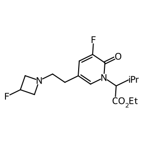 CCOC(=O)C(C(C)C)n1cc(CCN2CC(F)C2)cc(F)c1=O